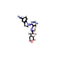 N#Cc1ccc2c(c1)CCN2c1ncnc2sc(C(=O)BC3CCOCC3)nc12